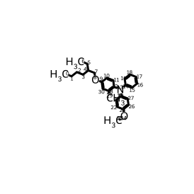 CCCCC(CC)COc1ccc(N(c2ccccc2)c2ccc(OC)cc2)c(C)c1